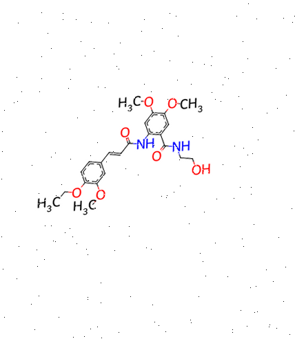 CCOc1ccc(/C=C/C(=O)Nc2cc(OC)c(OC)cc2C(=O)NCCO)cc1OC